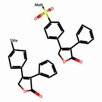 CNS(=O)(=O)c1ccc(C2=C(c3ccccc3)C(=O)OC2)cc1.CSc1ccc(C2=C(c3ccccc3)C(=O)OC2)cc1